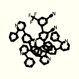 N#Cc1cc(-c2cc(-n3c4cc(-c5cccnc5-c5ccccc5)ccc4c4ccc(-c5cccnc5-c5ccccc5)cc43)c(-n3c4cc(-c5cccnc5-c5ccccc5)ccc4c4ccc(-c5cccnc5-c5ccccc5)cc43)cc2C#N)cc(C(F)(F)F)c1